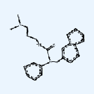 CN(C)CCCNC(=S)N(Cc1ccc2ccccc2c1)c1ccccc1